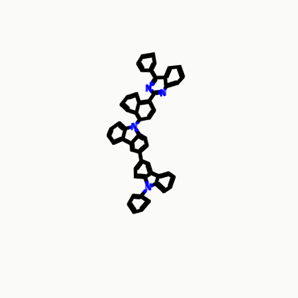 C1=CC2=C(c3nc(-c4ccccc4)c4ccccc4n3)C=CC(n3c4ccccc4c4cc(-c5ccc6c(c5)c5ccccc5n6-c5ccccc5)ccc43)C2C=C1